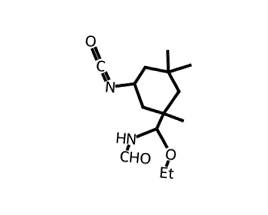 CCOC(NC=O)C1(C)CC(N=C=O)CC(C)(C)C1